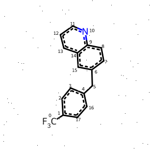 FC(F)(F)c1ccc(Cc2ccc3ncccc3c2)cc1